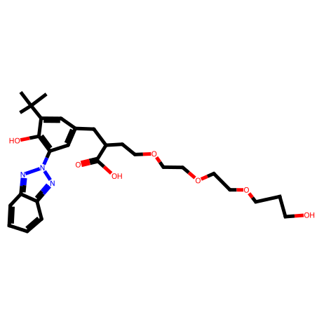 CC(C)(C)c1cc(CC(CCOCCOCCOCCCO)C(=O)O)cc(-n2nc3ccccc3n2)c1O